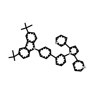 CC(C)(C)c1ccc2c(c1)c1cc(C(C)(C)C)ccc1n2-c1ccc(-c2cccc(-n3c(-c4cccnc4)ccc3-c3cccnc3)c2)cc1